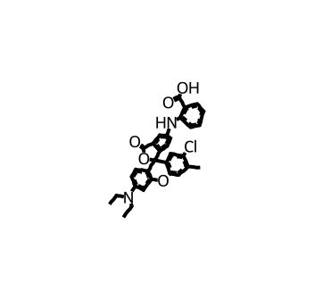 CCN(CC)c1ccc2c(c1)Oc1cc(C)c(Cl)cc1C21OC(=O)c2cc(Nc3ccccc3C(=O)O)ccc21